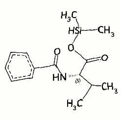 CC(C)[C@H](NC(=O)c1ccccc1)C(=O)O[SiH](C)C